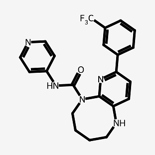 O=C(Nc1ccncc1)N1CCCCNc2ccc(-c3cccc(C(F)(F)F)c3)nc21